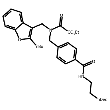 CCCCCCCCCCCCNC(=O)c1ccc(CN(Cc2c(CCCC)oc3ccccc23)C(=O)C(=O)OCC)cc1